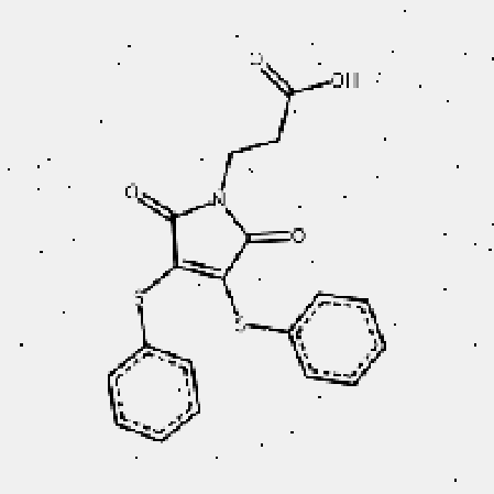 O=C(O)CCN1C(=O)C(Sc2ccccc2)=C(Sc2ccccc2)C1=O